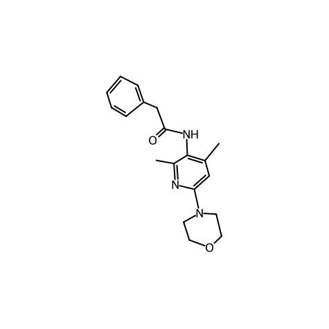 Cc1cc(N2CCOCC2)nc(C)c1NC(=O)Cc1ccccc1